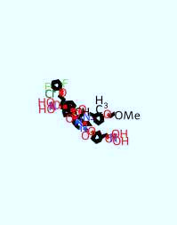 COCCOc1cccc(CN(C(=O)C2(C)C(c3ccc(CCCOc4c(F)ccc(F)c4Cl)cc3)CC3CN(C(=O)Oc4cccc(CON(O)O)c4)CC2N3C(=O)Oc2cccc(CON(O)O)c2)C2CC2)c1C